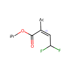 CC(=O)/C(=C/C(F)F)C(=O)OC(C)C